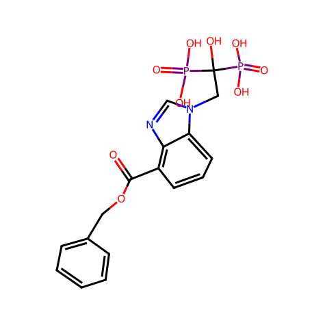 O=C(OCc1ccccc1)c1cccc2c1ncn2CC(O)(P(=O)(O)O)P(=O)(O)O